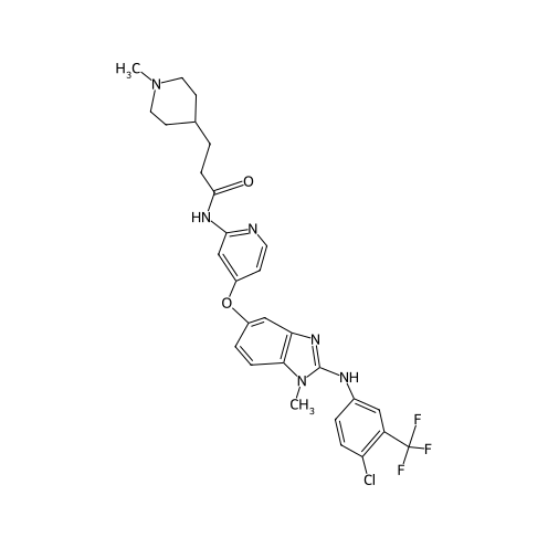 CN1CCC(CCC(=O)Nc2cc(Oc3ccc4c(c3)nc(Nc3ccc(Cl)c(C(F)(F)F)c3)n4C)ccn2)CC1